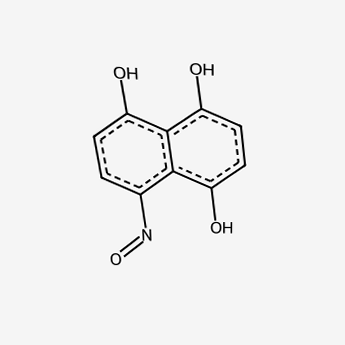 O=Nc1ccc(O)c2c(O)ccc(O)c12